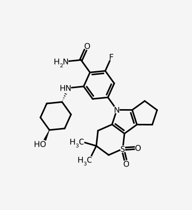 CC1(C)Cc2c(c3c(n2-c2cc(F)c(C(N)=O)c(N[C@H]4CC[C@H](O)CC4)c2)CCC3)S(=O)(=O)C1